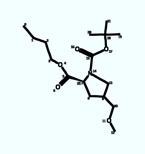 CCCCOC(=O)[C@@H]1CC(COC)CN1C(=O)OC(C)(C)C